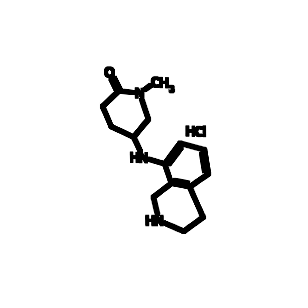 CN1CC(Nc2cccc3c2CNCC3)CCC1=O.Cl